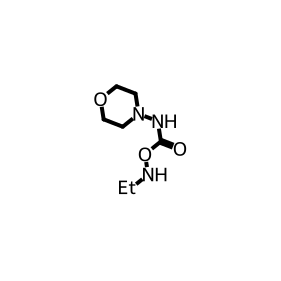 CCNOC(=O)NN1CCOCC1